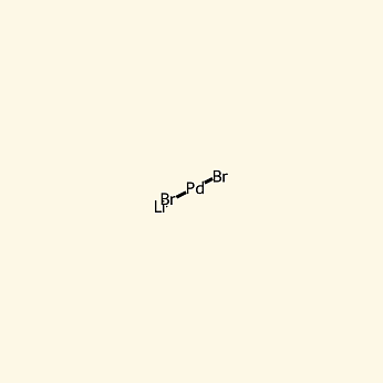 [Br][Pd][Br].[Li]